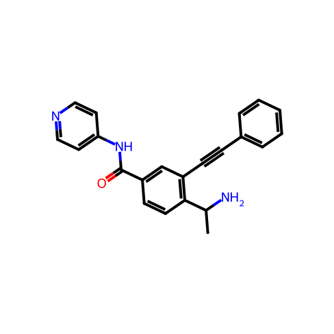 CC(N)c1ccc(C(=O)Nc2ccncc2)cc1C#Cc1ccccc1